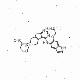 C[C@@H](N)COc1cc2[nH]ncc2cc1Nc1ncnc2sc3c(c12)CC[C@H]([C@@]1(C)COCCN1C=O)C3